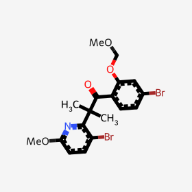 COCOc1cc(Br)ccc1C(=O)C(C)(C)c1nc(OC)ccc1Br